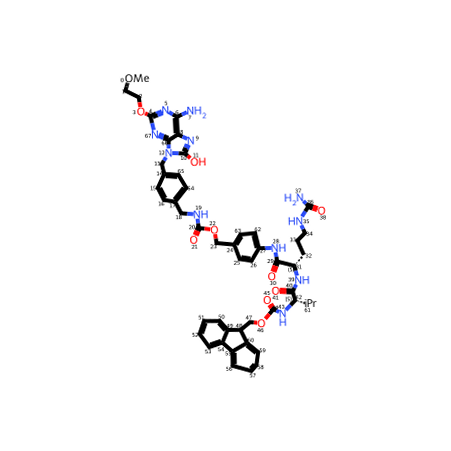 COCCOc1nc(N)c2nc(O)n(Cc3ccc(CNC(=O)OCc4ccc(NC(=O)[C@H](CCCNC(N)=O)NC(=O)[C@@H](NC(=O)OCC5c6ccccc6-c6ccccc65)C(C)C)cc4)cc3)c2n1